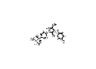 Cc1[nH]n(-c2ccc(S(=O)(=O)N(C(C)C)C(C)C)cn2)c(=O)c1Cc1ccc(Cl)cc1